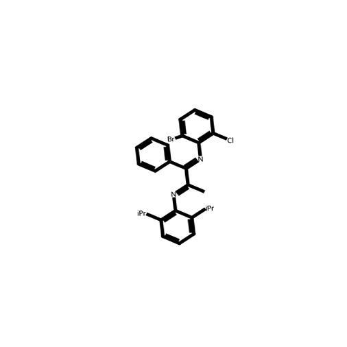 CC(=N\c1c(C(C)C)cccc1C(C)C)/C(=N/c1c(Cl)cccc1Br)c1ccccc1